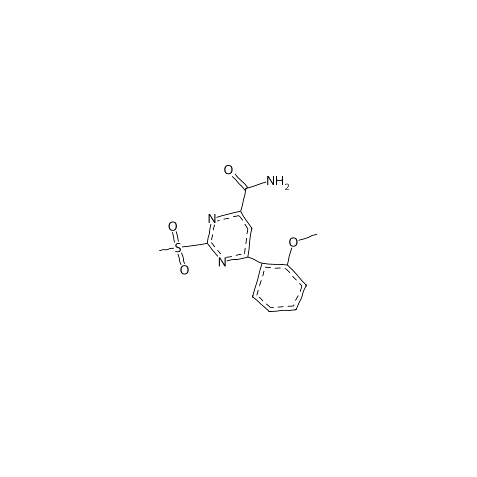 COc1ccccc1-c1cc(C(N)=O)nc(S(C)(=O)=O)n1